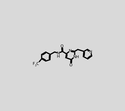 O=C(NCc1ccc(C(F)(F)F)cc1)c1cc(=O)[nH]c(Cc2cccnc2)n1